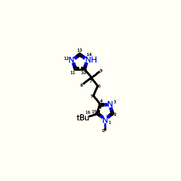 Cn1cnc(CCC(C)(C)c2cnc[nH]2)c1C(C)(C)C